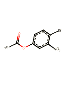 CCCC(=O)Oc1ccc(CC)c([N+](=O)[O-])c1